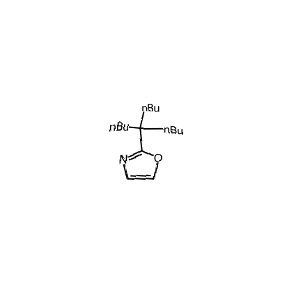 CCCCC(CCCC)(CCCC)c1ncco1